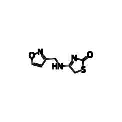 O=C1N=C(NCc2ccon2)CS1